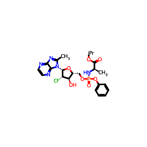 Cc1nc2nccnc2n1[C@@H]1O[C@H](CO[P@](=O)(N[C@H](C)C(=O)OC(C)C)Oc2ccccc2)[C@@H](O)[C@@H]1Cl